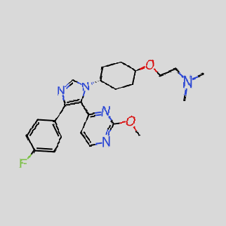 COc1nccc(-c2c(-c3ccc(F)cc3)ncn2[C@H]2CC[C@H](OCCN(C)C)CC2)n1